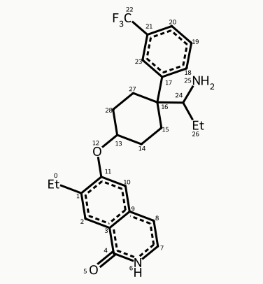 CCc1cc2c(=O)[nH]ccc2cc1OC1CCC(c2cccc(C(F)(F)F)c2)(C(N)CC)CC1